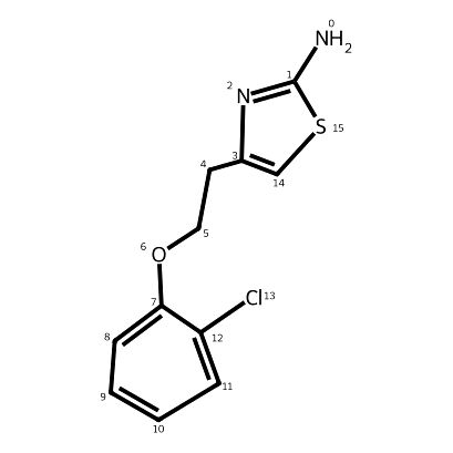 Nc1nc(CCOc2ccccc2Cl)cs1